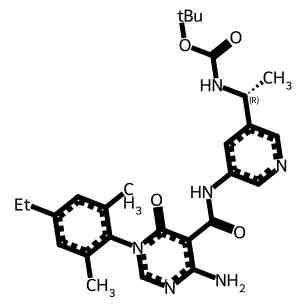 CCc1cc(C)c(-n2cnc(N)c(C(=O)Nc3cncc([C@@H](C)NC(=O)OC(C)(C)C)c3)c2=O)c(C)c1